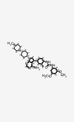 COc1cc(NC(=O)Nc2ccc(-c3cn([C@H]4CC[C@@H](N5CCN(C)CC5)CC4)c4ncnc(N)c34)cc2F)cc(OC)c1